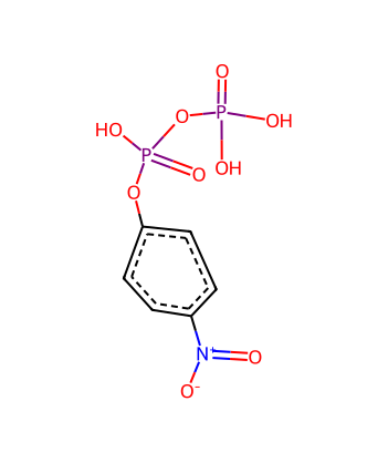 O=[N+]([O-])c1ccc(OP(=O)(O)OP(=O)(O)O)cc1